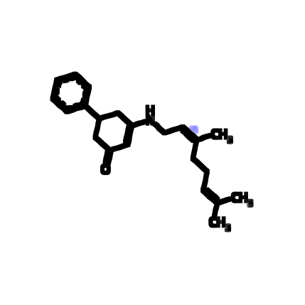 CC(C)=CCC/C(C)=C\CNC1=CC(=O)CC(c2ccccc2)C1